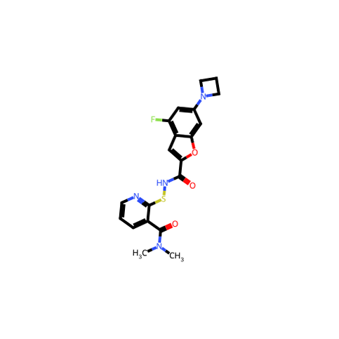 CN(C)C(=O)c1cccnc1SNC(=O)c1cc2c(F)cc(N3CCC3)cc2o1